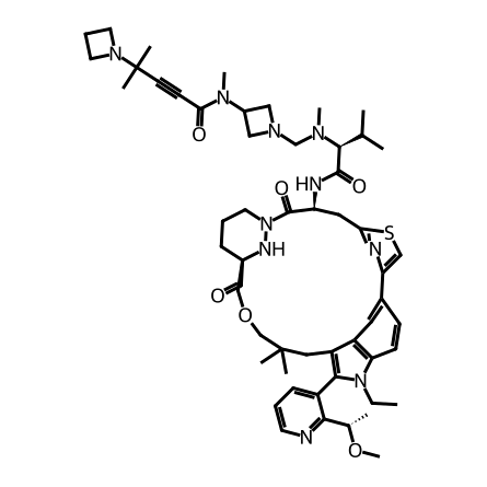 CCn1c(-c2cccnc2[C@H](C)OC)c2c3cc(ccc31)-c1csc(n1)C[C@H](NC(=O)[C@H](C(C)C)N(C)CN1CC(N(C)C(=O)C#CC(C)(C)N3CCC3)C1)C(=O)N1CCCC(C=O)(COCC(C)(C)C2)N1